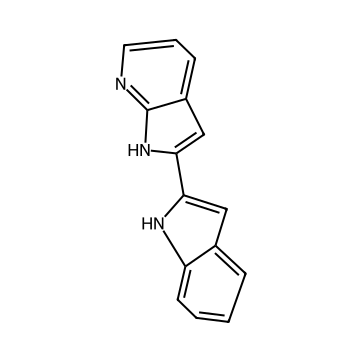 c1ccc2[nH]c(-c3cc4cccnc4[nH]3)cc2c1